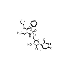 C=C[C@H](N[P@](=O)(OC[C@H]1O[C@@H](n2ccc(=O)[nH]c2=O)[C@@H](C)[C@@H]1O)Oc1ccccc1)C(=O)OCCC